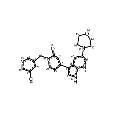 O=c1cc(-c2c[nH]c3ncc(N4CCOCC4)cc23)ccn1Cc1cncc(Cl)c1